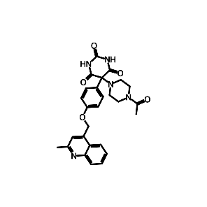 CC(=O)N1CCN(C2(c3ccc(OCc4cc(C)nc5ccccc45)cc3)C(=O)NC(=O)NC2=O)CC1